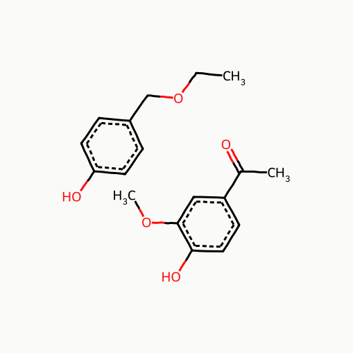 CCOCc1ccc(O)cc1.COc1cc(C(C)=O)ccc1O